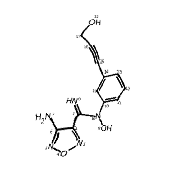 N=C(c1nonc1N)N(O)c1cccc(C#CCO)c1